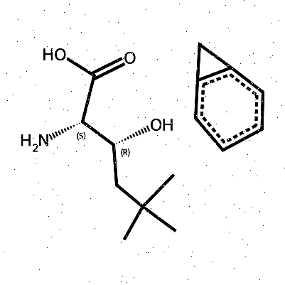 CC(C)(C)C[C@@H](O)[C@H](N)C(=O)O.c1ccc2c(c1)C2